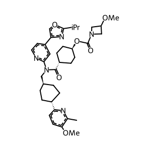 COc1ccc([C@H]2CC[C@H](CN(c3cc(-c4coc(C(C)C)n4)ccn3)C(=O)[C@H]3CC[C@H](OC(=O)N4CC(OC)C4)CC3)CC2)nc1C